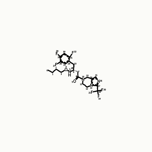 CCCCON[C@@H](CC(=O)N1CCn2c(cnc2C(F)(F)F)C1)Cc1cc(F)c(F)cc1F